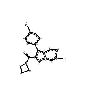 O=C(c1nn2cc(F)cnc2c1-c1ccc(Cl)cc1)N1CCC1